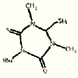 CN1C(=O)N(C(C)(C)C)C(=S)N(C)C1S